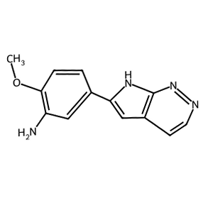 COc1ccc(-c2cc3ccnnc3[nH]2)cc1N